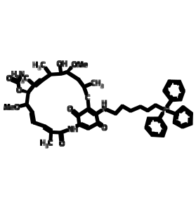 COC1/C=C/C=C(\C)C(=O)NC2=CC(=O)C(NCCCCCC[P+](c3ccccc3)(c3ccccc3)c3ccccc3)=C(CC(C)C[C@H](OC)C(O)C(C)/C=C(\C)[C@@H]1OC(N)=O)C2=O